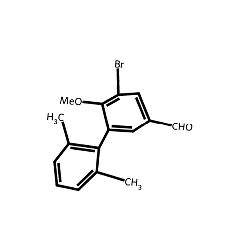 COc1c(Br)cc(C=O)cc1-c1c(C)cccc1C